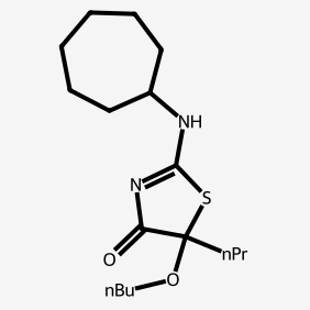 CCCCOC1(CCC)SC(NC2CCCCCC2)=NC1=O